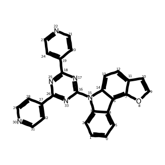 c1ccc2c(c1)c1c3occc3ccc1n2-c1nc(-c2ccncc2)nc(-c2ccncc2)n1